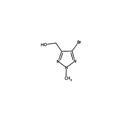 Cn1nc(Br)c(CO)n1